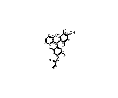 C=CC(=O)Oc1cc(C)c(C(c2cc(C)c(O)cc2C)c2ccccc2O)cc1C